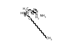 CCCCCCCCCCCCCCCCCOCCOP(=O)(O)COC(C)Cn1cnc2c(N)ncnc21.N